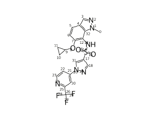 Cn1ncc2ccc(OC3CC3)c(NS(=O)(=O)c3cnn(-c4ccnc(C(F)(F)F)c4)c3)c21